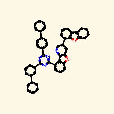 c1ccc(-c2ccc(-c3nc(-c4cccc(-c5ccccc5)c4)nc(-c4cccc5oc6cc(-c7cccc8c7oc7ccccc78)cnc6c45)n3)cc2)cc1